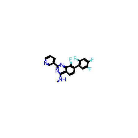 CNc1nc(-c2cccnc2)nc2c(F)c(-c3cc(F)c(F)cc3F)ccc12